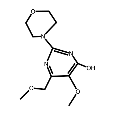 COCc1nc(N2CCOCC2)nc(O)c1OC